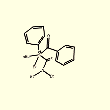 CCCC[SH](CC)(C(=O)c1ccccc1)(C(=S)N(CC)CC)c1ccccc1